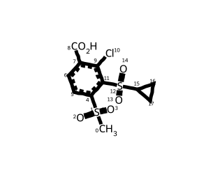 CS(=O)(=O)c1ccc(C(=O)O)c(Cl)c1S(=O)(=O)C1CC1